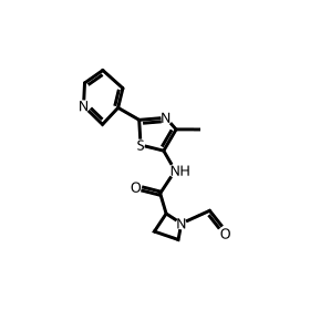 Cc1nc(-c2cccnc2)sc1NC(=O)C1CCN1C=O